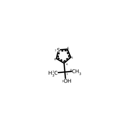 CC(C)(O)c1c[c]sc1